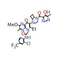 CCc1c(N2CCN(C(=O)c3ncnc(C)c3O)C3CCC32)c(=O)c2nc(OC)c(C)nc2n1CC(=O)Nc1ccc(C(F)(F)F)cc1Cl